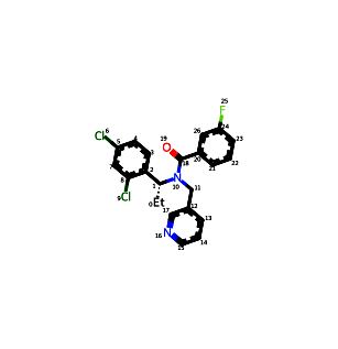 CC[C@H](c1ccc(Cl)cc1Cl)N(Cc1cccnc1)C(=O)c1cccc(F)c1